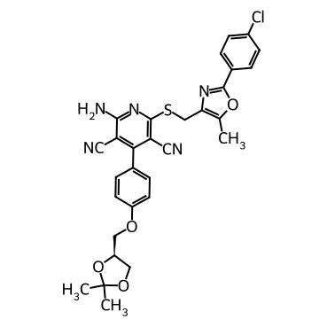 Cc1oc(-c2ccc(Cl)cc2)nc1CSc1nc(N)c(C#N)c(-c2ccc(OC[C@H]3COC(C)(C)O3)cc2)c1C#N